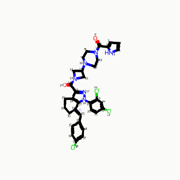 O=C(c1ccc[nH]1)N1CCN(C2CN(C(=O)c3nn(-c4ccc(Cl)cc4Cl)c4c3CCC/C4=C\c3ccc(Cl)cc3)C2)CC1